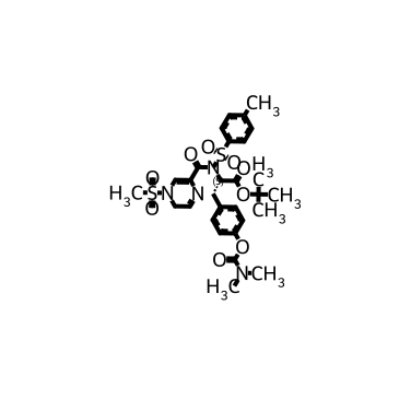 Cc1ccc(S(=O)(=O)N(C(=O)C2=CN(S(C)(=O)=O)CC=N2)[C@@H](Cc2ccc(OC(=O)N(C)C)cc2)C(=O)OC(C)(C)C)cc1